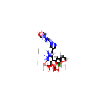 Cc1nc2c(cc(-c3ccnc(N4CC(N5CCOCC5)C4)c3)n2C)c(-c2cc(F)c3c(c2C)CCCO3)c1C(OC(C)(C)C)C(=O)O